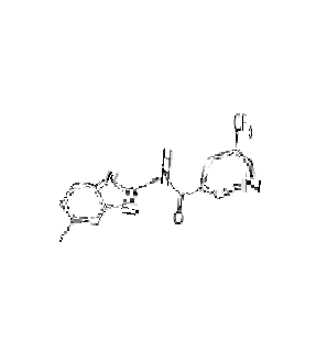 Cc1ccc2nc(NC(=O)c3cncc(C(F)(F)F)c3)sc2c1